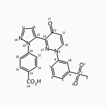 CS(=O)(=O)c1cccc(-n2ccc(=O)c(-c3ccnn3-c3ccc(C(=O)O)cc3)n2)c1